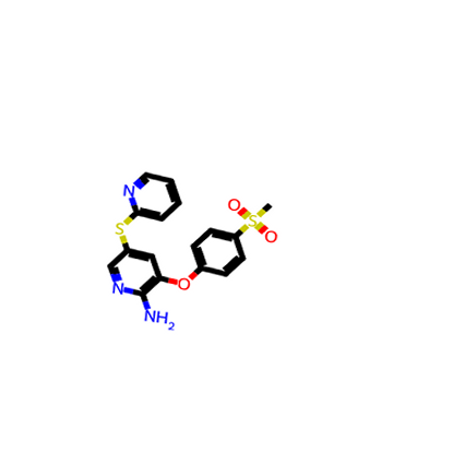 CS(=O)(=O)c1ccc(Oc2cc(Sc3ccccn3)cnc2N)cc1